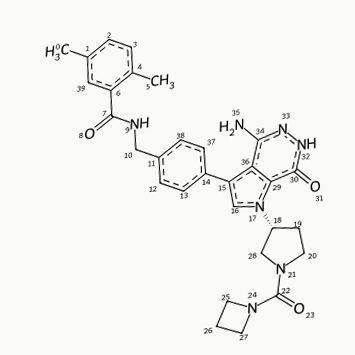 Cc1ccc(C)c(C(=O)NCc2ccc(-c3cn([C@@H]4CCN(C(=O)N5CCC5)C4)c4c(=O)[nH]nc(N)c34)cc2)c1